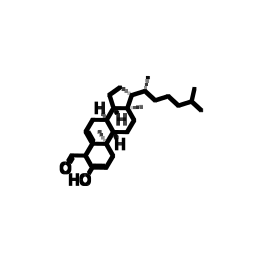 CC(C)CCC[C@@H](C)[C@H]1CC[C@H]2[C@@H]3CC=C4C(C=O)C(O)=CC[C@]4(C)[C@H]3CC[C@]12C